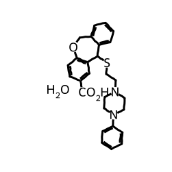 O.O=C(O)c1ccc2c(c1)C(SCCN1CCN(c3ccccc3)CC1)c1ccccc1CO2